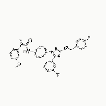 C=C(C(=O)Nc1ccc(-n2nc(OCc3ccc(F)cc3)nc2-c2cccc(F)c2)cc1)c1cccc(OC)c1